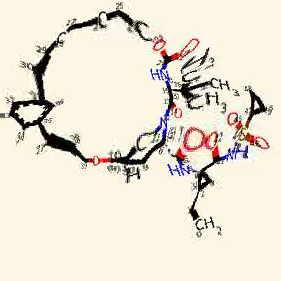 C=C[C@@H]1C[C@]1(NC(=O)[C@@H]1C[C@@H]2CN1C(=O)[C@H](C(C)(C)C)NC(=O)OCCCCCC=Cc1cccc(c1)C#CCO2)C(=O)NS(=O)(=O)C1CC1